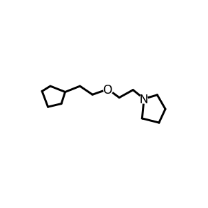 C1CCC(CCOCCN2CCCC2)C1